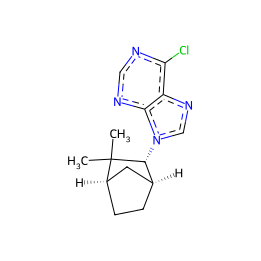 CC1(C)[C@@H]2CC[C@@H](C2)[C@H]1n1cnc2c(Cl)ncnc21